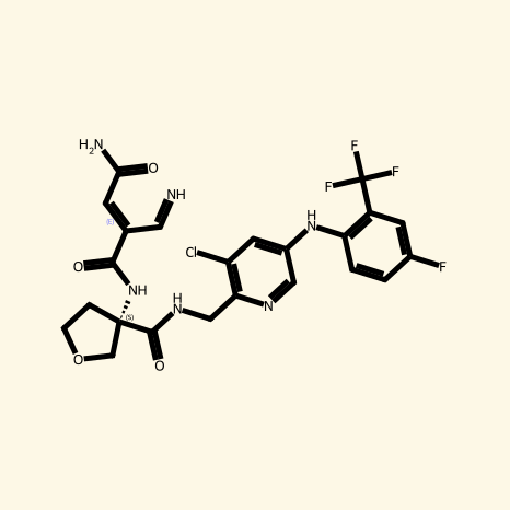 N=C/C(=C\C(N)=O)C(=O)N[C@@]1(C(=O)NCc2ncc(Nc3ccc(F)cc3C(F)(F)F)cc2Cl)CCOC1